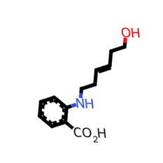 O=C(O)c1ccccc1NCCC=CCCO